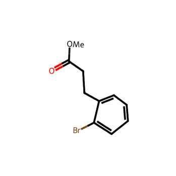 COC(=O)CCc1ccccc1Br